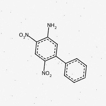 Nc1cc(-c2ccccc2)c([N+](=O)[O-])cc1[N+](=O)[O-]